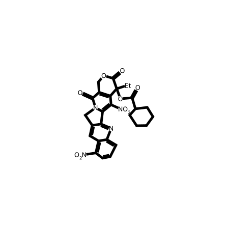 CCC1(OC(=O)C2CCCCC2)C(=O)OCc2c1c([N+](=O)[O-])c1n(c2=O)Cc2cc3c([N+](=O)[O-])cccc3nc2-1